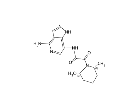 C[C@@H]1CCC[C@H](C)N1C(=O)C(=O)Nc1cnc(N)c2cn[nH]c12